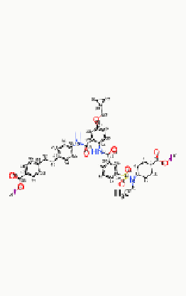 CCN(C1CCC(C(=O)OI)CC1)S(=O)(=O)c1cccc(C(=O)Nc2ccc(OCC3CC3)cc2C(=O)Nc2ccc(CCc3ccc(C(=O)OI)cc3)cc2)c1